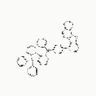 c1ccc(N(c2ccc(-c3cccc4oc5c6ccccc6ccc5c34)cc2)c2cccc3c2-c2ccccc2C3(c2ccccc2)c2ccccc2)cc1